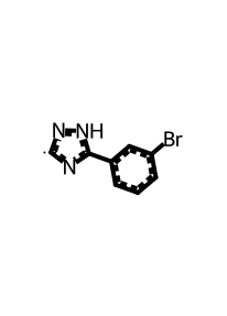 Brc1cccc(-c2n[c]n[nH]2)c1